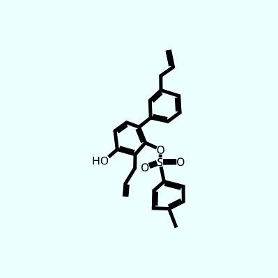 C=CCc1cccc(-c2ccc(O)c(CC=C)c2OS(=O)(=O)c2ccc(C)cc2)c1